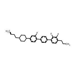 C=CCCC1CCC(c2ccc(-c3ccc(-c4ccc(CCC)c(F)c4F)cc3)c(F)c2)CC1